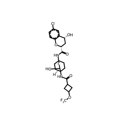 O=C(NC12CCC(NC(=O)[C@H]3C[C@@H](O)c4cc(Cl)ccc4O3)(CC1)C[C@@H]2O)C1CC(OC(F)(F)F)C1